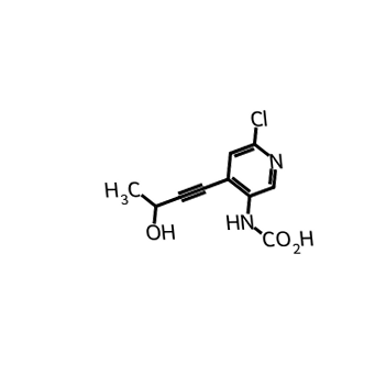 CC(O)C#Cc1cc(Cl)ncc1NC(=O)O